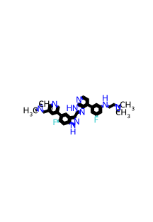 CN(C)CCNc1cc(F)cc(-c2ccnc3[nH]c(-c4n[nH]c5cc(F)c(-c6cncc(CN(C)C)c6)cc45)nc23)c1